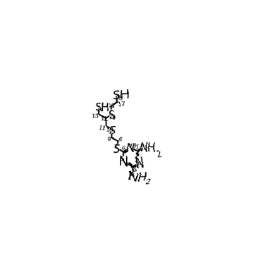 Nc1nc(N)nc(SCCSCC(CS)SCCS)n1